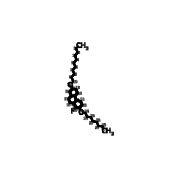 CCCCCCCCCCCOc1ccc2c(ccc3c(F)c(OCCCCCCCC)ccc32)c1